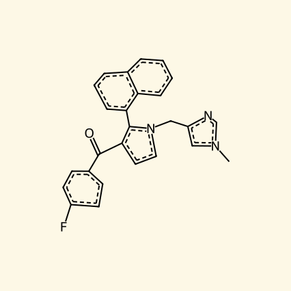 Cn1cnc(Cn2ccc(C(=O)c3ccc(F)cc3)c2-c2cccc3ccccc23)c1